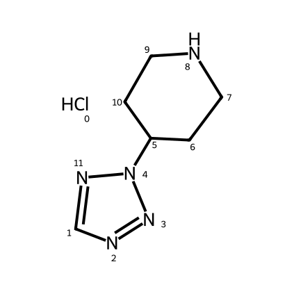 Cl.c1nnn(C2CCNCC2)n1